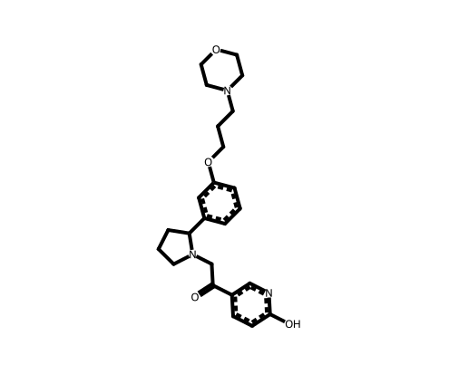 O=C(CN1CCCC1c1cccc(OCCCN2CCOCC2)c1)c1ccc(O)nc1